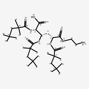 CC(C)(C)CC(C)(C)C(=O)O[C@@H](C[C@@H](OC(=O)C(C)(C)CC(C)(C)C)C(=O)NCCN)[C@H](OC(=O)C(C)(C)CC(C)(C)C)C(=O)O